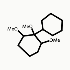 COC1CCCC(OC)C1(OC)C1CCCCC1